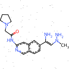 CN(N)/C=C(\N)c1ccc2cnc(NC(=O)CN3CCCC3)cc2c1